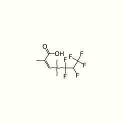 CC(=CC(C)(C)C(F)(F)C(F)C(F)(F)F)C(=O)O